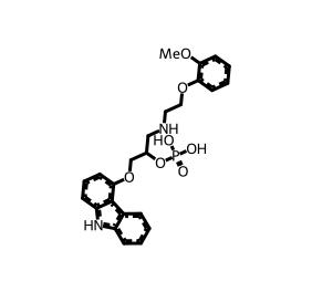 COc1ccccc1OCCNCC(COc1cccc2[nH]c3ccccc3c12)OP(=O)(O)O